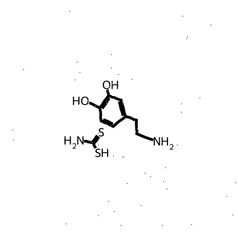 NC(=S)S.NCCc1ccc(O)c(O)c1